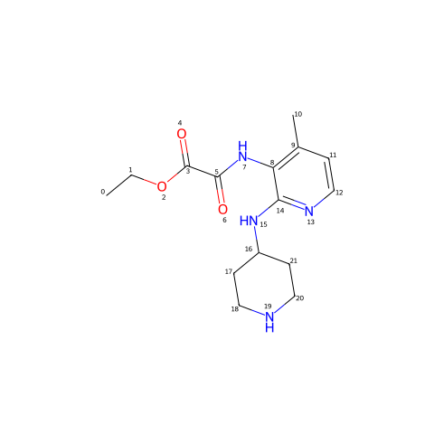 CCOC(=O)C(=O)Nc1c(C)ccnc1NC1CCNCC1